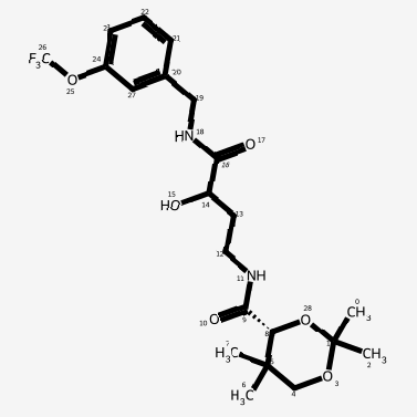 CC1(C)OCC(C)(C)[C@H](C(=O)NCCC(O)C(=O)NCc2cccc(OC(F)(F)F)c2)O1